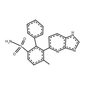 Cc1ccc(S(N)(=O)=O)c(-c2ccccc2)c1-c1ccc2[nH]cnc2n1